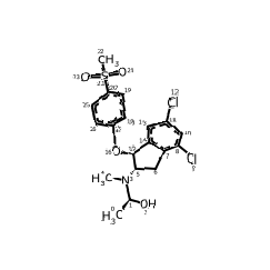 C[C@H](O)N(C)[C@H]1Cc2c(Cl)cc(Cl)cc2[C@@H]1Oc1ccc(S(C)(=O)=O)cc1